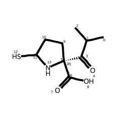 CC(C)C(=O)[C@@]1(C(=O)O)CCC(S)N1